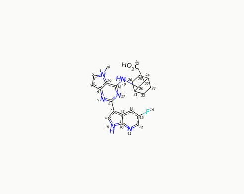 Cn1ccc2nc(-c3c[nH]c4ncc(F)cc34)nc(NC3C4CCC(CC4)C3C(=O)O)c21